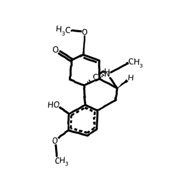 COC1=C[C@H]2[C@H]3Cc4ccc(OC)c(O)c4[C@@]2(CCN3C)CC1=O